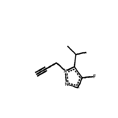 C#CCn1n[c]c(F)c1C(C)C